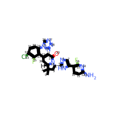 CC1(C)C[C@@H](c2ncc(-c3ccc(N)nc3F)[nH]2)N2C(=O)C=C(c3c(-n4cnnn4)ccc(Cl)c3F)C[C@H]21